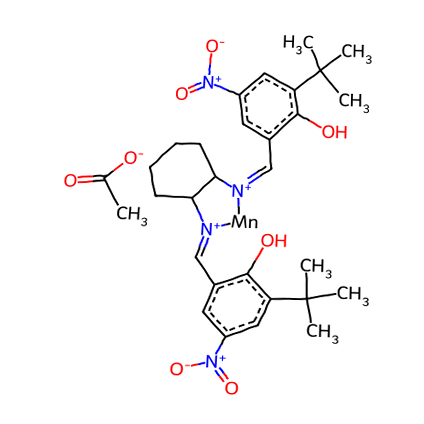 CC(=O)[O-].CC(C)(C)c1cc([N+](=O)[O-])cc(C=[N+]2[Mn][N+](=Cc3cc([N+](=O)[O-])cc(C(C)(C)C)c3O)C3CCCCC32)c1O